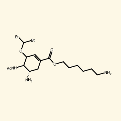 CCC(CC)OC1C=C(C(=O)OCCCCCCN)C[C@H](N)C1NC(C)=O